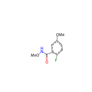 CONC(=O)c1cc(OC)ccc1F